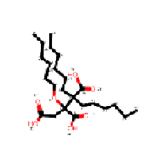 CCCCCCOC(CC(=O)O)(C(=O)O)C(CCCCCC)(CCCCCC)C(=O)O